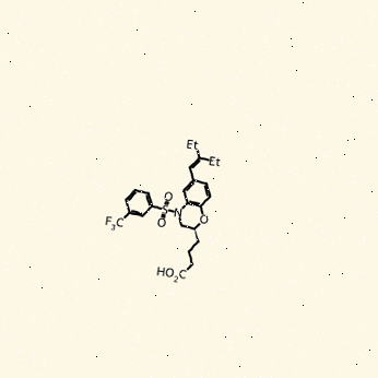 CCC(=Cc1ccc2c(c1)N(S(=O)(=O)c1cccc(C(F)(F)F)c1)C[C@H](CCCC(=O)O)O2)CC